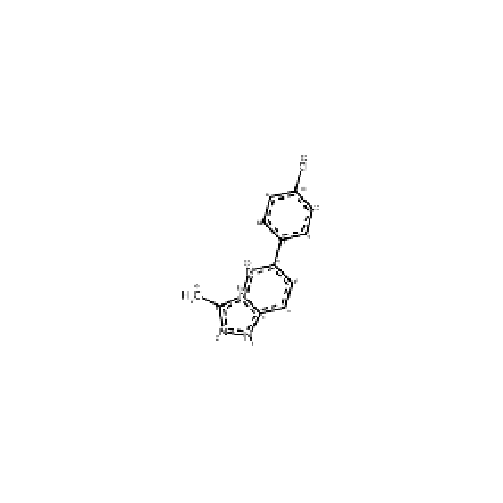 Cc1nnc2ccc(-c3ccc(Cl)cc3)nn12